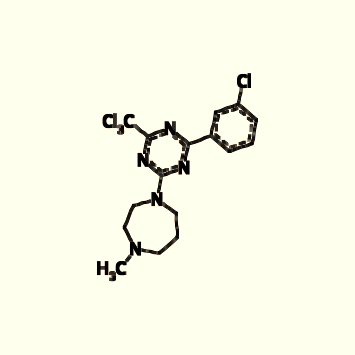 CN1CCCN(c2nc(-c3cccc(Cl)c3)nc(C(Cl)(Cl)Cl)n2)CC1